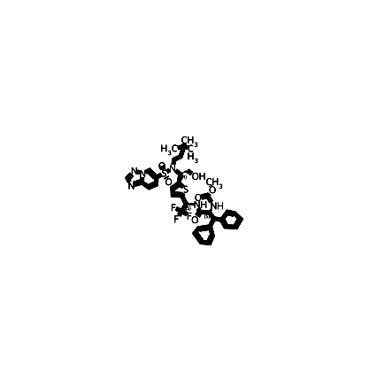 COC(=O)N[C@H](C(=O)N[C@H](c1ccc([C@@H](CO)N(CCC(C)(C)C)S(=O)(=O)c2ccc3ncnn3c2)s1)C(F)(F)F)C(c1ccccc1)c1ccccc1